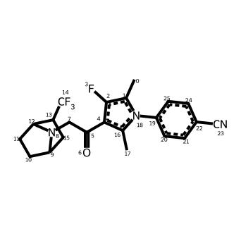 Cc1c(F)c(C(=O)CN2C3CCC2C(C(F)(F)F)C3)c(C)n1-c1ccc(C#N)cc1